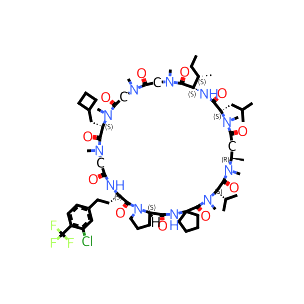 CC[C@H](C)[C@@H]1NC(=O)[C@H](CC(C)C)N(C)C(=O)C[C@@H](C)N(C)C(=O)[C@H](C(C)C)N(C)C(=O)C2(CCCC2)NC(=O)[C@@H]2CCCN2C(=O)[C@H](CCc2ccc(C(F)(F)F)c(Cl)c2)NC(=O)CN(C)C(=O)[C@H](CC2CCC2)N(C)C(=O)CN(C)C(=O)CN(C)C1=O